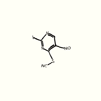 N#CSc1nc(I)ncc1N=O